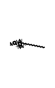 CCCCCCCCCCCCCCCCCc1c(N(C)C)c2nc3ccc(N(C)C)cc3sc-2c(N(C)C)c1=[N+](C)C